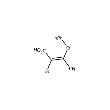 CCCOC(C#N)=C(CC)C(=O)O